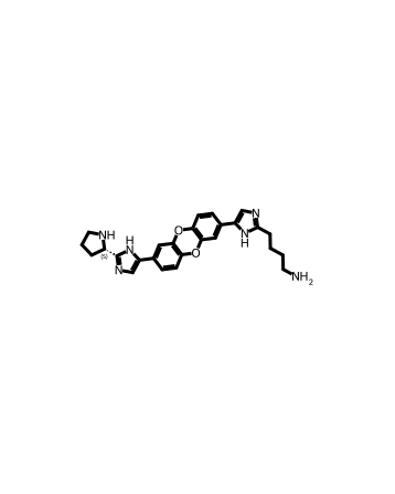 NCCCCc1ncc(-c2ccc3c(c2)Oc2ccc(-c4cnc([C@@H]5CCCN5)[nH]4)cc2O3)[nH]1